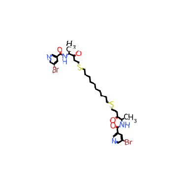 CC(NC(=O)c1cncc(Br)c1)C(=O)CCSCCCCCCCCCCSCCC(=O)C(C)NC(=O)c1cncc(Br)c1